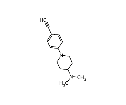 C#Cc1ccc(N2CCC(N(C)C)CC2)cc1